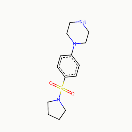 O=S(=O)(c1ccc(N2CCNCC2)cc1)N1CCCC1